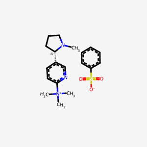 CN1CCC[C@H]1c1ccc([N+](C)(C)C)nc1.O=S(=O)([O-])c1ccccc1